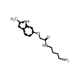 Cc1cc2ccc(OCC(=O)NCCCCN)cc2[nH]1